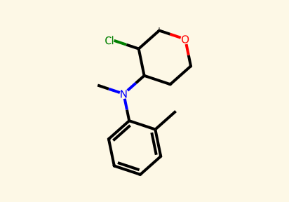 Cc1ccccc1N(C)C1CCO[CH]C1Cl